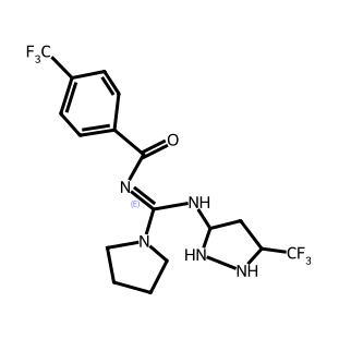 O=C(/N=C(\NC1CC(C(F)(F)F)NN1)N1CCCC1)c1ccc(C(F)(F)F)cc1